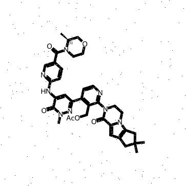 CC(=O)OCc1c(-c2cc(Nc3ccc(C(=O)N4CCOC[C@@H]4C)cn3)c(=O)n(C)n2)ccnc1N1CCn2c(cc3c2CC(C)(C)C3)C1=O